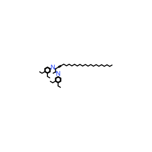 CCCCCCCCCCCCCCCCCCCC#CC(=Nc1ccc(CC)c(CC)c1)C(C)=Nc1ccc(CC)c(CC)c1